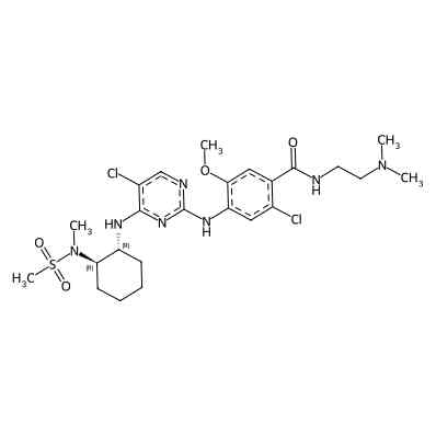 COc1cc(C(=O)NCCN(C)C)c(Cl)cc1Nc1ncc(Cl)c(N[C@@H]2CCCC[C@H]2N(C)S(C)(=O)=O)n1